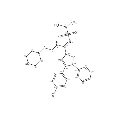 CN(C)S(=O)(=O)/N=C(\NCCN1CCOCC1)N1CC(c2ccccc2)C(c2ccc(Cl)cc2)=N1